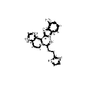 O=C(CCc1nccs1)N1CCc2[nH]cnc2[C@H]1c1nc2cccc(F)c2s1